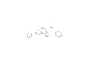 COC(=O)C(c1ccc(F)c(F)c1)n1ncc2c1nc(N)n1nc(-c3ccco3)nc21